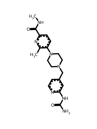 CNC(=O)c1ccc(N2CCN(Cc3ccnc(NC(N)=O)c3)CC2)c(C)n1